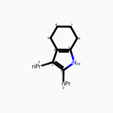 CCCC1=C(CCC)C2=C(CCCC2)[N]1